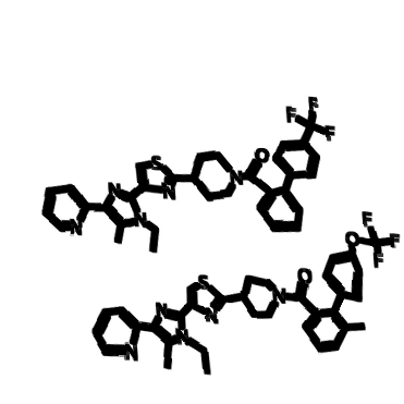 CCn1c(-c2csc(C3CCN(C(=O)c4cccc(C)c4-c4ccc(OC(F)(F)F)cc4)CC3)n2)nc(-c2ccccn2)c1C.CCn1c(-c2csc(C3CCN(C(=O)c4ccccc4-c4ccc(C(F)(F)F)cc4)CC3)n2)nc(-c2ccccn2)c1C